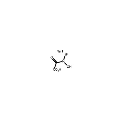 CC(C)N(O)C(=O)C(=O)O.[NaH]